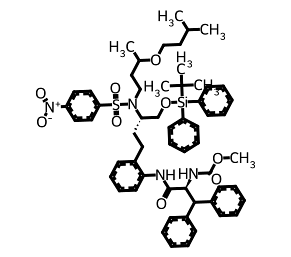 COC(=O)N[C@H](C(=O)Nc1ccccc1CC[C@@H](CO[Si](c1ccccc1)(c1ccccc1)C(C)(C)C)N(CCC(C)OCCC(C)C)S(=O)(=O)c1ccc([N+](=O)[O-])cc1)C(c1ccccc1)c1ccccc1